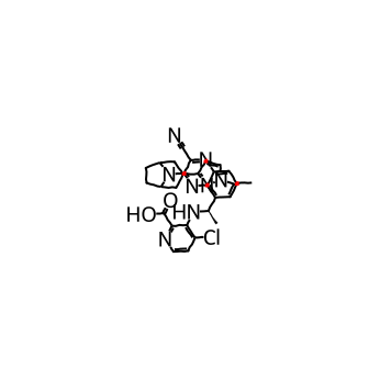 Cc1cc([C@@H](C)Nc2c(Cl)ccnc2C(=O)O)c2nc(N3C4CCC3CC(c3ccn(C)n3)C4)c(C#N)nc2c1